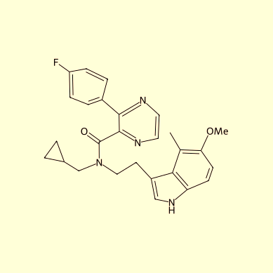 COc1ccc2[nH]cc(CCN(CC3CC3)C(=O)c3nccnc3-c3ccc(F)cc3)c2c1C